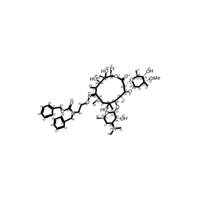 CC[C@H]1OC(=O)[C@H](C)[C@@H](O[C@H]2C[C@@](C)(OC)[C@@H](O)[C@H](C)O2)[C@H](C)[C@@H](O[C@@H]2O[C@H](C)CC(N(C)C)[C@H]2O)C(C)(O)C[C@@H](C)/C(=N\OCCN(Cc2ccccc2)C(=O)OCc2ccccc2)C(C)[C@@H](O)[C@]1(C)O